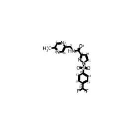 Cc1cnc(CNC(=O)c2ccn(S(=O)(=O)c3ccc(C(F)F)cc3)n2)cn1